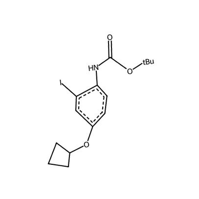 CC(C)(C)OC(=O)Nc1ccc(OC2CCC2)cc1I